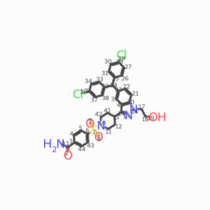 NC(=O)c1ccc(S(=O)(=O)N2CCC(c3nn(CCO)c4ccc(C(c5ccc(Cl)cc5)c5ccc(Cl)cc5)cc34)CC2)cc1